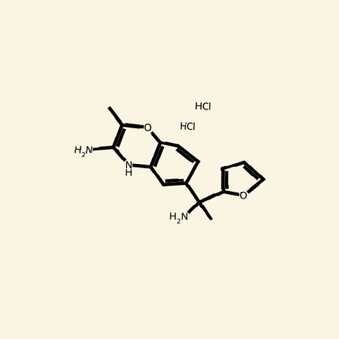 CC1=C(N)Nc2cc(C(C)(N)c3ccco3)ccc2O1.Cl.Cl